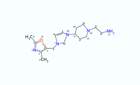 Cc1nc(C)c(CN2C=CN(C3CCN(CCN)CC3)C2)o1